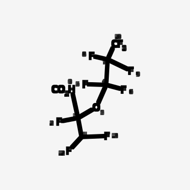 O=C(O)C(F)(OC(F)(F)C(F)(F)C(F)(F)F)C(F)F